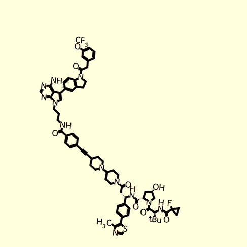 Cc1ncsc1-c1ccc([C@H](CC(=O)N2CCC(N3CCC(C#Cc4ccc(C(=O)NCCCn5cc(-c6ccc7c(c6)CCN7C(=O)Cc6cccc(OC(F)(F)F)c6)c6c(N)ncnc65)cc4)CC3)CC2)NC(=O)[C@@H]2C[C@@H](O)CN2C(=O)[C@@H](NC(=O)C2(F)CC2)C(C)(C)C)cc1